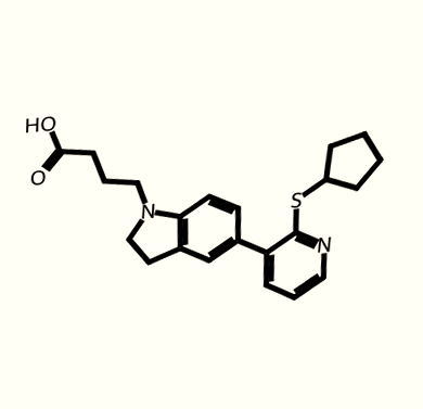 O=C(O)CCCN1CCc2cc(-c3cccnc3SC3CCCC3)ccc21